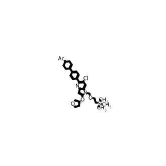 CC(=O)C1CC=C(c2ccc(-c3nc4cc(O[C@H]5CCOC5)n(COCC[Si](C)(C)C)c4cc3Cl)cc2)CC1